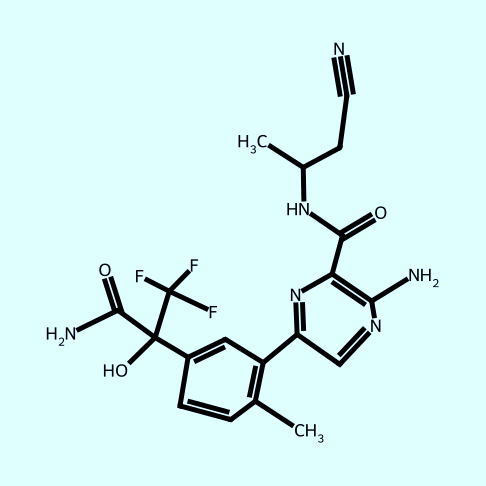 Cc1ccc(C(O)(C(N)=O)C(F)(F)F)cc1-c1cnc(N)c(C(=O)NC(C)CC#N)n1